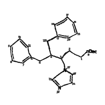 CCCCCCCCCCCCC(C(Cc1ccccc1)Cc1ccccc1)n1ccnc1